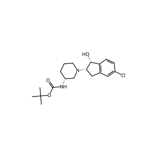 CC(C)(C)OC(=O)N[C@@H]1CCCN([C@H]2Cc3cc(Cl)ccc3[C@H]2O)C1